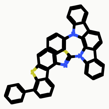 c1ccc(-c2cccc3c2sc2ccc4sc(-n5c6ccccc6c6ccc7c8ccccc8n(-c8ccccc8)c7c65)nc4c23)cc1